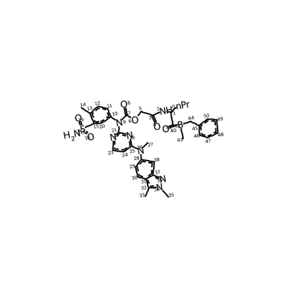 CCCC(NC(=O)COC(=O)N(c1ccc(C)c(S(N)(=O)=O)c1)c1nccc(N(C)c2ccc3c(C)n(C)nc3c2)n1)C(=O)B(C)Cc1ccccc1